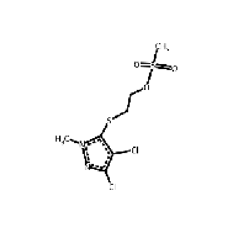 Cn1nc(Cl)c(Cl)c1SCCOS(C)(=O)=O